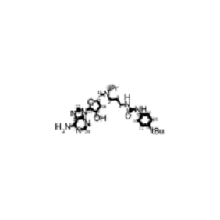 CC(C)N(CCCNC(=O)Nc1ccc(C(C)(C)C)cc1)C[C@@H]1C[C@@H](O)C(n2cnc3c(N)ncnc32)O1